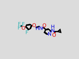 O=C(NCCOc1ccc(OC(F)(F)F)c(F)c1)c1ccnc(NC(=O)C2CC2)c1